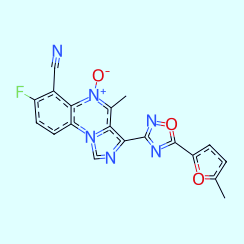 Cc1ccc(-c2nc(-c3ncn4c3c(C)[n+]([O-])c3c(C#N)c(F)ccc34)no2)o1